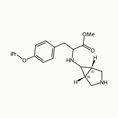 COC(=O)C(Cc1ccc(OC(C)C)cc1)NC1[C@H]2CNC[C@@H]12